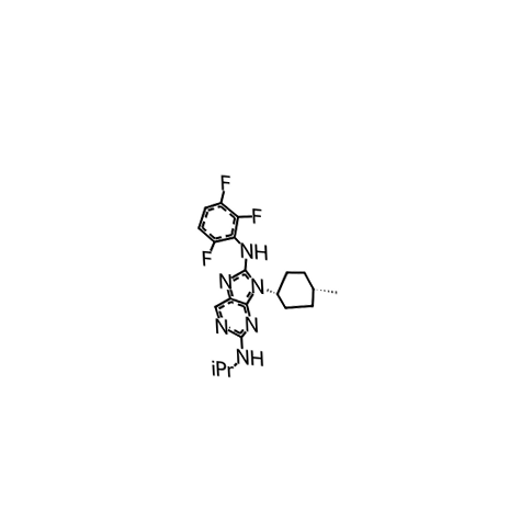 CC(C)Nc1ncc2nc(Nc3c(F)ccc(F)c3F)n([C@H]3CC[C@@H](C)CC3)c2n1